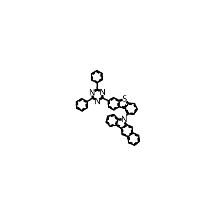 c1ccc(-c2nc(-c3ccccc3)nc(-c3ccc4c(c3)sc3cccc(-n5c6ccccc6c6cc7ccccc7cc65)c34)n2)cc1